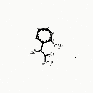 CCOC(=O)C(CC)C(c1ccccc1OC)C(C)(C)C